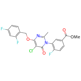 COC(=O)c1ccc(F)c(-n2c(C)nc(OCc3ccc(F)cc3F)c(Cl)c2=O)c1